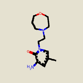 Cc1cc(N)c(=O)n(CCN2CCCOCC2)c1